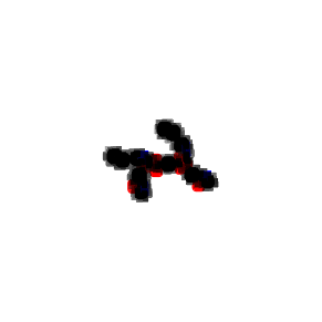 O=C(OC(COc1cccc(CN2CCCC2=O)c1)CN1CCC(c2ccc3ccccc3c2)CC1)c1ccc(C(=O)OC(COc2cccc(CN3CCCC3=O)c2)CN2CCC(c3ccc4ccccc4c3)CC2)cc1